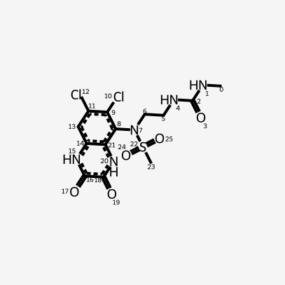 CNC(=O)NCCN(c1c(Cl)c(Cl)cc2[nH]c(=O)c(=O)[nH]c12)S(C)(=O)=O